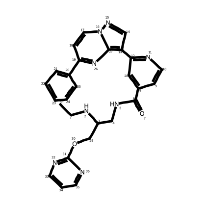 CCNC(CNC(=O)c1ccnc(-c2cnn3ccc(-c4ccccc4)nc23)c1)COc1ncccn1